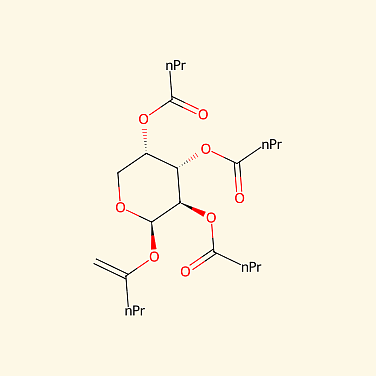 C=C(CCC)O[C@H]1OC[C@H](OC(=O)CCC)[C@H](OC(=O)CCC)[C@H]1OC(=O)CCC